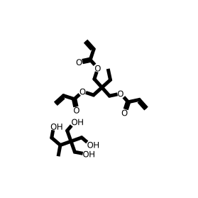 C=CC(=O)OCC(CC)(COC(=O)C=C)COC(=O)C=C.CC(CO)C(CO)(CO)CO